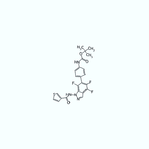 CC(C)(C)OC(=O)Nc1ccc(-c2c(F)c(F)c3cnn(NC(=O)c4ccsc4)c3c2F)cc1